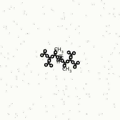 Cc1ccc(N(c2ccc(N(c3ccc(N(c4ccccc4)c4ccccc4)cc3)c3ccc(N(c4ccccc4)c4ccccc4)cc3)cc2)c2ccc(C(c3ccc(N(c4ccc(C)cc4)c4ccc(N(c5ccc(N(c6ccccc6)c6ccccc6)cc5)c5ccc(N(c6ccccc6)c6ccccc6)cc5)cc4)cc3)(C(F)(F)F)C(F)(F)F)cc2)cc1